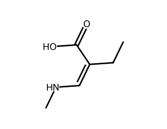 CCC(=CNC)C(=O)O